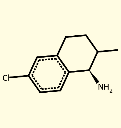 CC1CCc2cc(Cl)ccc2[C@@H]1N